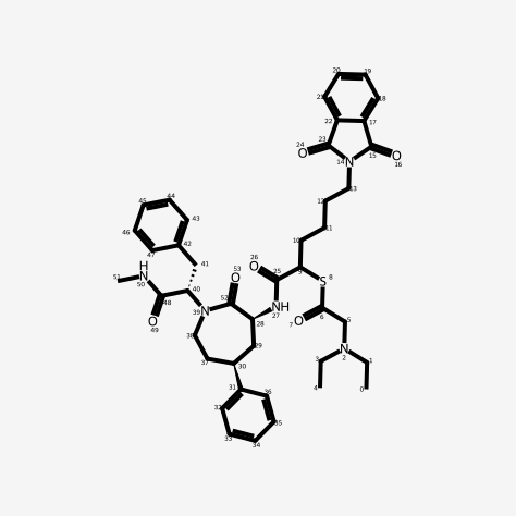 CCN(CC)CC(=O)SC(CCCCN1C(=O)c2ccccc2C1=O)C(=O)N[C@H]1C[C@@H](c2ccccc2)CCN([C@@H](Cc2ccccc2)C(=O)NC)C1=O